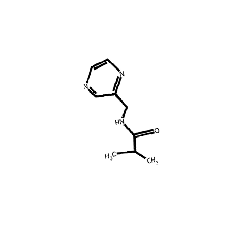 CC(C)C(=O)NCc1cnccn1